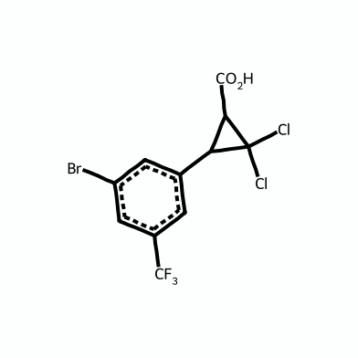 O=C(O)C1C(c2cc(Br)cc(C(F)(F)F)c2)C1(Cl)Cl